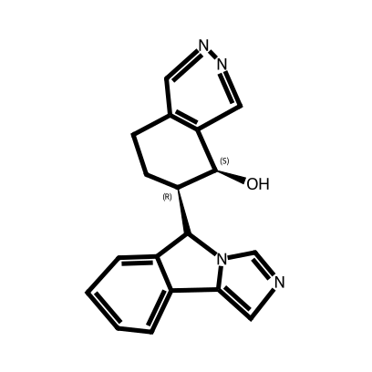 O[C@@H]1c2cnncc2CC[C@@H]1C1c2ccccc2-c2cncn21